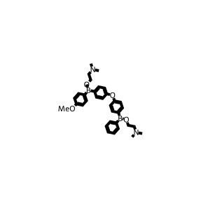 COc1ccc(B(OCCN(C)C)c2ccc(Oc3ccc(B(OCCN(C)C)c4ccccc4)cc3)cc2)cc1